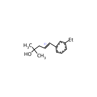 CCc1cccc(/C=C/CC(C)(C)O)c1